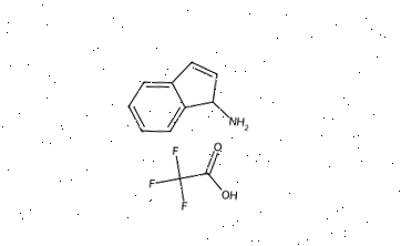 NC1C=Cc2ccccc21.O=C(O)C(F)(F)F